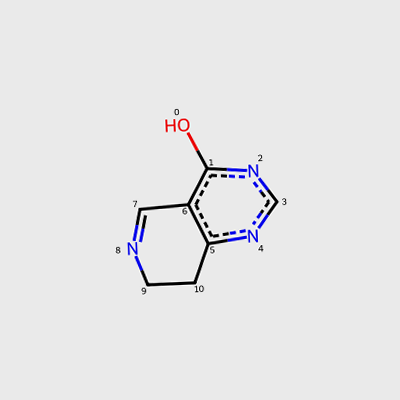 Oc1ncnc2c1C=NCC2